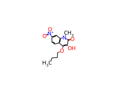 CCCCOc1c(O)c(=O)n(C)c2cc([N+](=O)[O-])ccc12